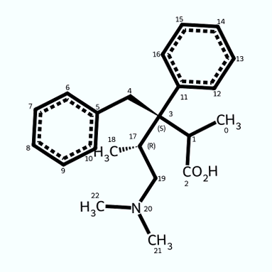 CC(C(=O)O)[C@@](Cc1ccccc1)(c1ccccc1)[C@@H](C)CN(C)C